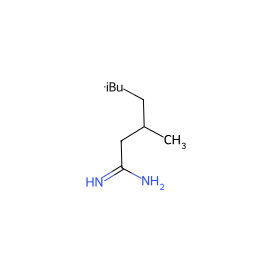 CC[C](C)CC(C)CC(=N)N